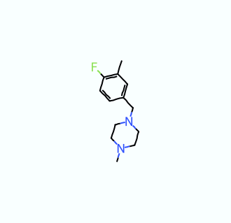 Cc1cc(CN2CCN(C)CC2)ccc1F